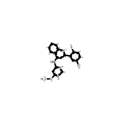 COc1cc(Nc2cc(-c3cc(Cl)ccc3F)nc3ccccc23)ncn1